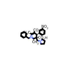 CC1=C(C(=O)O)[C@@H](c2cccc([N+](=O)[O-])c2)[C@@](CN2CCCC2)(C(=O)O)[C@H](C)N1Cc1ccccc1